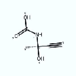 C#C[C@@](C)(O)NC(=O)O